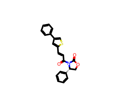 O=C(/C=C/c1cc(-c2ccccc2)cs1)N1C(=O)OC[C@@H]1c1ccccc1